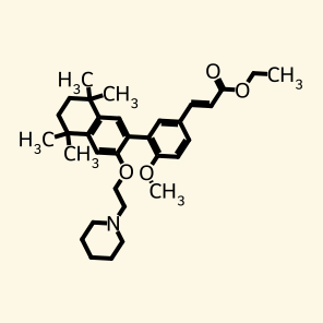 CCOC(=O)C=Cc1ccc(OC)c(-c2cc3c(cc2OCCN2CCCCC2)C(C)(C)CCC3(C)C)c1